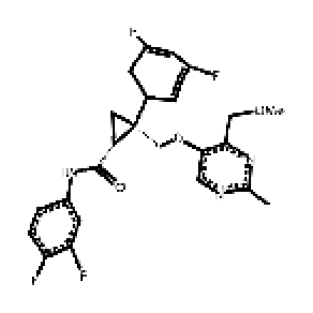 COCc1nc(C)ncc1OC[C@@]1(C2C=C(F)C=C(F)C2)C[C@H]1C(=O)Nc1ccc(F)c(F)c1